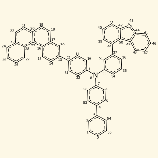 c1ccc(-c2ccc(N(c3ccc(-c4ccc5c(ccc6ccc7ccccc7c65)c4)cc3)c3cccc(-c4cccc5sc6ccccc6c45)c3)cc2)cc1